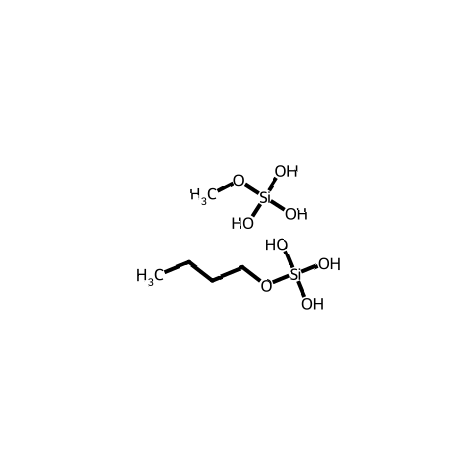 CCCCO[Si](O)(O)O.CO[Si](O)(O)O